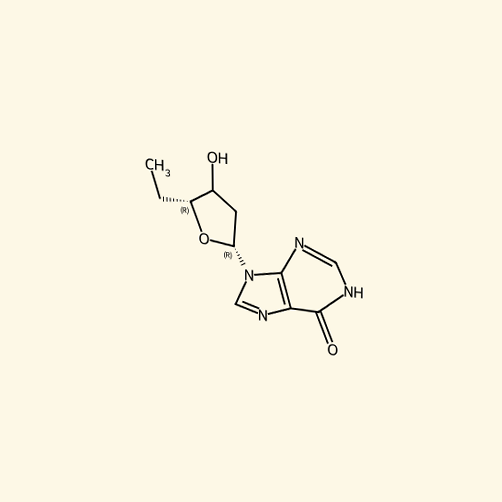 CC[C@H]1O[C@@H](n2cnc3c(=O)[nH]cnc32)CC1O